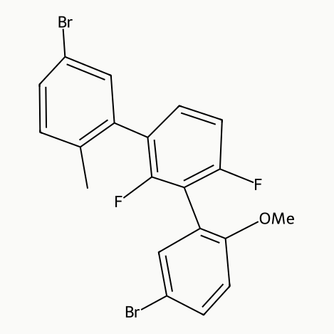 COc1ccc(Br)cc1-c1c(F)ccc(-c2cc(Br)ccc2C)c1F